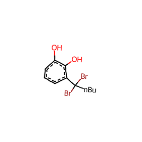 CCCCC(Br)(Br)c1cccc(O)c1O